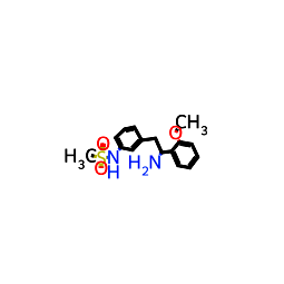 COc1ccccc1C(N)Cc1cccc(NS(C)(=O)=O)c1